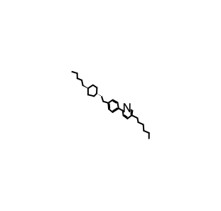 CCCCCCc1ccc(-c2ccc(CC[C@H]3CC[C@H](CCCCC)CC3)cc2)nc1